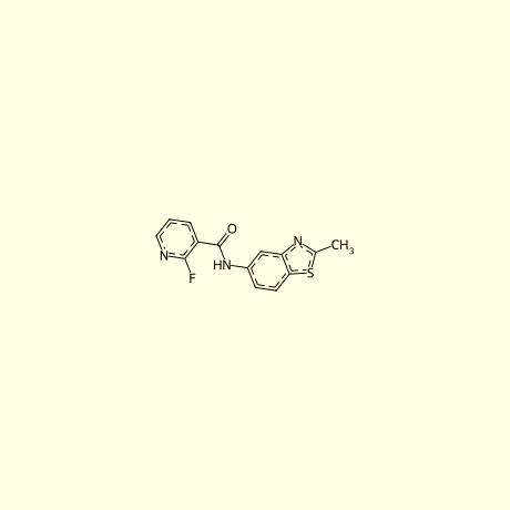 Cc1nc2cc(NC(=O)c3cccnc3F)ccc2s1